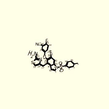 Cc1ccc(S(=O)(=O)n2ccc3c(Cc4csc(N)n4)c(Oc4ccc(F)c(C#N)c4)c(F)cc32)cc1